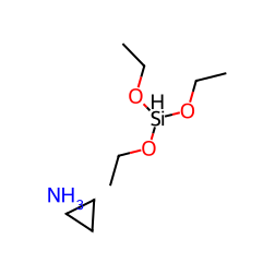 C1CC1.CCO[SiH](OCC)OCC.N